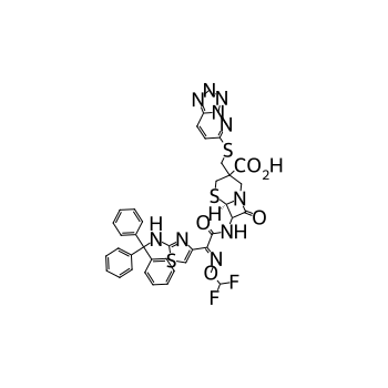 O=C(NC1C(=O)N2CC(CSc3ccc4nnnn4n3)(C(=O)O)CS[C@H]12)C(=NOC(F)F)c1csc(NC(c2ccccc2)(c2ccccc2)c2ccccc2)n1